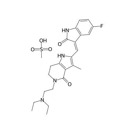 CCN(CC)CCN1CCc2[nH]c(C=C3C(=O)Nc4ccc(F)cc43)c(C)c2C1=O.CS(=O)(=O)O